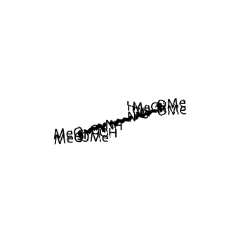 CO[Si](CCCOCC(O)CNCCCCCCNCC(O)COCCC[Si](OC)(OC)OC)(OC)OC